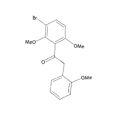 COc1ccccc1CC(=O)c1c(OC)ccc(Br)c1OC